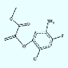 C=C(Oc1cc(N)c(F)cc1Cl)C(=O)OC